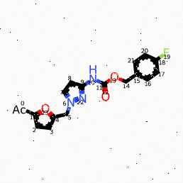 CC(=O)c1ccc(Cn2ccc(NC(=O)OCc3ccc(F)cc3)n2)o1